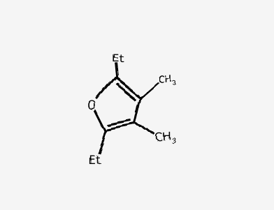 CCc1oc(CC)c(C)c1C